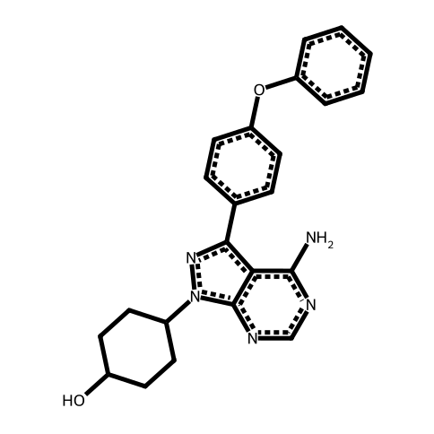 Nc1ncnc2c1c(-c1ccc(Oc3ccccc3)cc1)nn2C1CCC(O)CC1